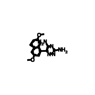 COc1cc(-c2nnc(N)nc2N)c2cc(OC)ccc2c1